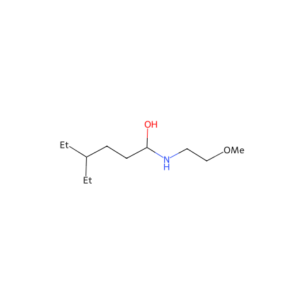 CCC(CC)CCC(O)NCCOC